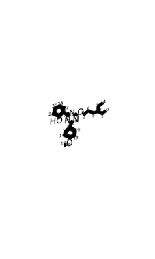 CCC(CC)CCCOc1nc(-c2ccc(OC)cc2)nc(-c2ccccc2O)n1